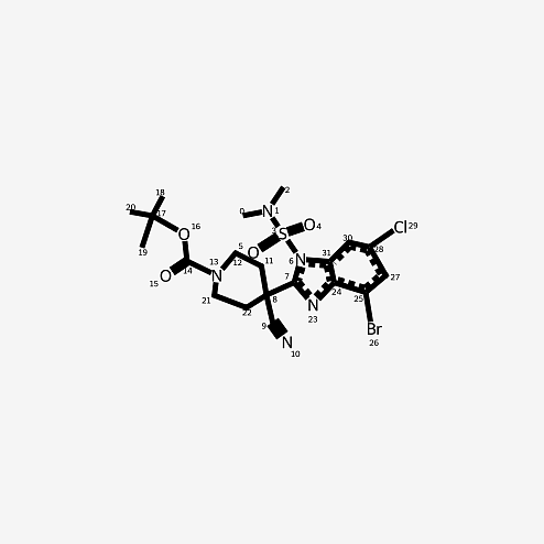 CN(C)S(=O)(=O)n1c(C2(C#N)CCN(C(=O)OC(C)(C)C)CC2)nc2c(Br)cc(Cl)cc21